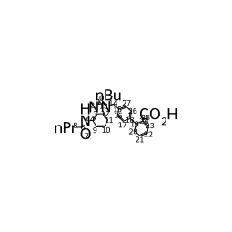 CCCCc1nc2c(NC(=O)CCC)cccc2n1Cc1ccc(-c2ccccc2C(=O)O)cc1